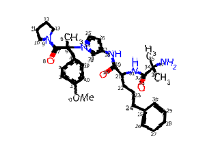 COc1ccc(C(C)(C(=O)N2CCCC2)n2ccc(NC(=O)C(CCCC3=CCCC=C3)NC(=O)C(C)(C)N)c2)cc1